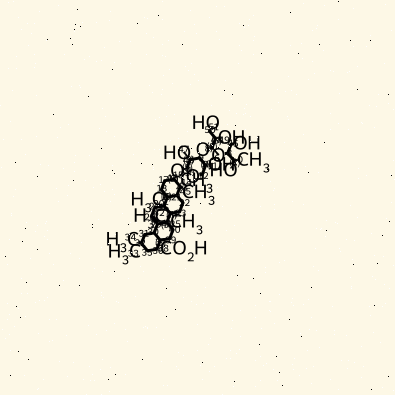 C[C@@H](O)C(CO)O[C@@H](OC1[C@H](O)CO[C@@H](O[C@H]2CC[C@@]3(C)C(CC[C@]4(C)C3CC=C3C5CC(C)(C)CC[C@]5(C(=O)O)CC[C@]34C)C2(C)C)[C@H]1O)[C@@H](O)CO